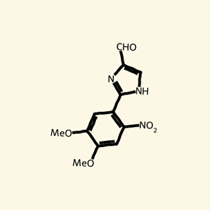 COc1cc(-c2nc(C=O)c[nH]2)c([N+](=O)[O-])cc1OC